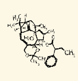 CCC(C(=O)O[C@H]1C(C)=C[C@]23C(=O)C(C=C4COC(C)(C)O[C@H]4[C@]12O)[C@H]1[C@@H](C[C@H]3C)C1(C)C)c1ccccc1